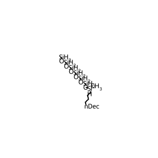 CCCCCCCCCCCCCC[SiH](C)O[SiH2]O[SiH2]O[SiH2]O[SiH2]O[SiH2]O[SiH3]